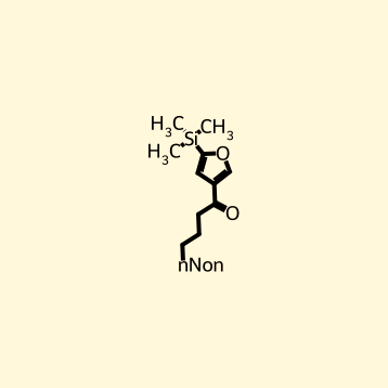 CCCCCCCCCCCCC(=O)c1coc([Si](C)(C)C)c1